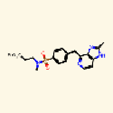 CCOC(=O)CCN(C)S(=O)(=O)c1ccc(Cc2nccc3[nH]c(C)nc23)cc1